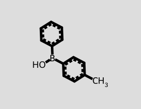 Cc1ccc(B(O)c2ccccc2)cc1